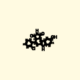 O=C1NC(=O)C2c3c([nH]c4ccc(O)cc34)C=C(c3ccccc3Cl)C12